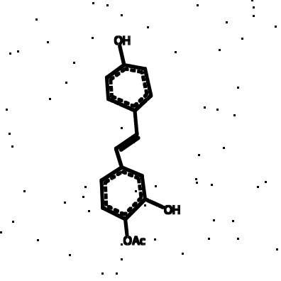 CC(=O)Oc1ccc(C=Cc2ccc(O)cc2)cc1O